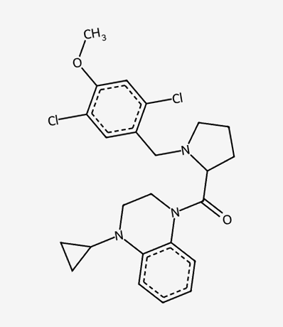 COc1cc(Cl)c(CN2CCCC2C(=O)N2CCN(C3CC3)c3ccccc32)cc1Cl